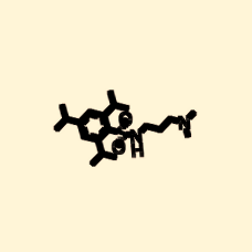 CC(C)c1cc(C(C)C)c(S(=O)(=O)NCCCN(C)C)c(C(C)C)c1